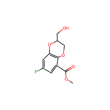 COC(=O)c1cc(F)cc2c1OCC(CO)O2